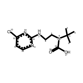 CC(C)(C)N(CCNc1nccc(Cl)n1)C(=O)O